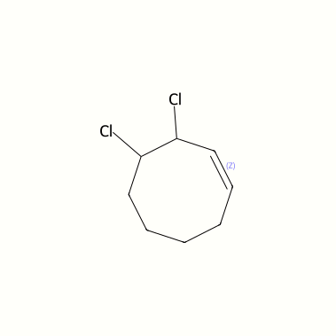 ClC1/C=C\CCCCC1Cl